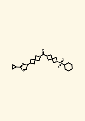 O=C(N1CC2(CC(n3cnc(C4CC4)n3)C2)C1)N1CC2(C1)CN(S(=O)(=O)C1CCCCC1)C2